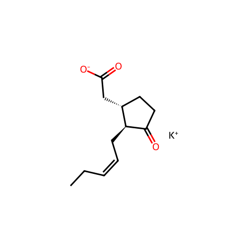 CC/C=C\C[C@@H]1C(=O)CC[C@H]1CC(=O)[O-].[K+]